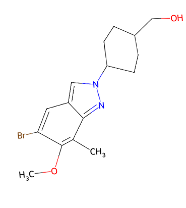 COc1c(Br)cc2cn(C3CCC(CO)CC3)nc2c1C